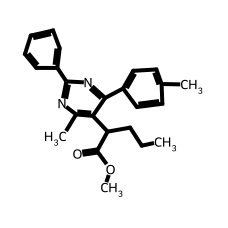 CCCC(C(=O)OC)c1c(C)nc(-c2ccccc2)nc1-c1ccc(C)cc1